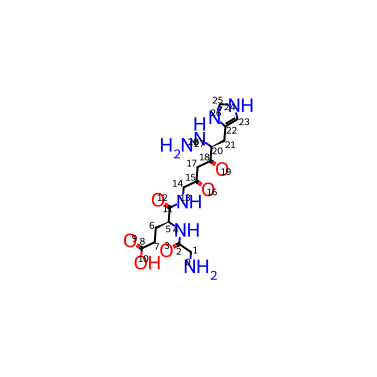 NCC(=O)N[C@@H](CCC(=O)O)C(=O)NCC(=O)CC(=O)[C@H](Cc1c[nH]cn1)NN